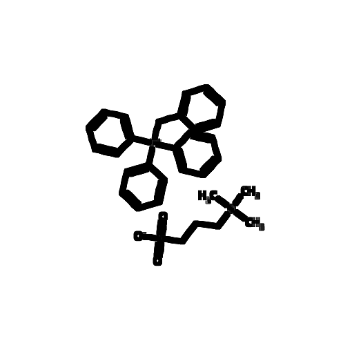 C[Si](C)(C)CCCS(=O)(=O)[O-].c1ccc(C[P+](c2ccccc2)(c2ccccc2)c2ccccc2)cc1